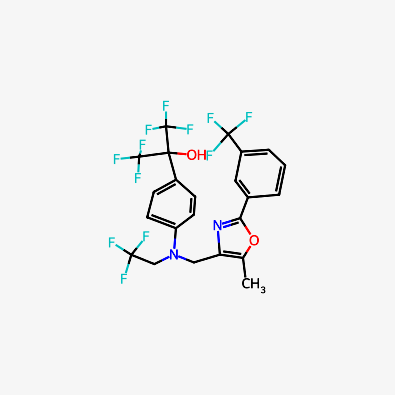 Cc1oc(-c2cccc(C(F)(F)F)c2)nc1CN(CC(F)(F)F)c1ccc(C(O)(C(F)(F)F)C(F)(F)F)cc1